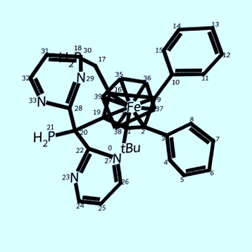 CC(C)(C)[C]12[C]3(c4ccccc4)[C]4(c5ccccc5)[C]5(CP)[C]1(C(P)(c1ncccn1)c1ncccn1)[Fe]54321678[CH]2[CH]1[CH]6[CH]7[CH]28